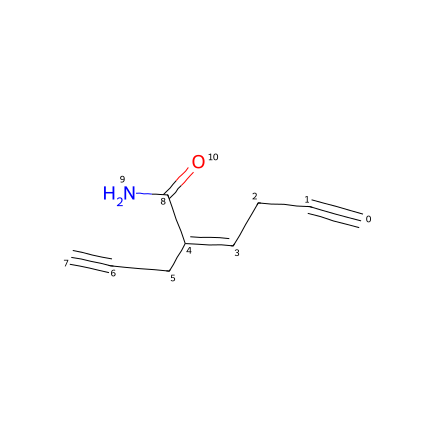 C#CCC=C(CC#C)C(N)=O